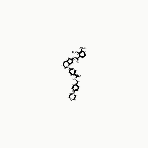 COc1cccc(C(=O)NC2CC3CCCN(c4ccc(C(=O)NCc5ccc(N6CCOCC6)cc5)cn4)C3C2)c1C